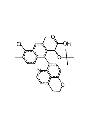 Cc1cc2c(Cl)c(C)ccc2c(-c2ccc3c4c(ccnc24)CCO3)c1[C@H](OC(C)(C)C)C(=O)O